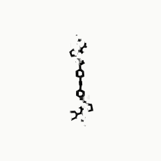 COC(=O)N[C@H](C(=O)N1CCC[C@H]1c1ncc(-c2ccc(C#Cc3ccc4nc([C@@H]5CCCN5C(=O)[C@@H](NC(=O)OC)C5CCOCC5)[nH]c4c3)cc2)[nH]1)C(C)C